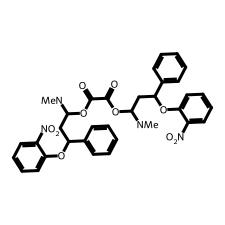 CNC(CC(Oc1ccccc1[N+](=O)[O-])c1ccccc1)OC(=O)C(=O)OC(CC(Oc1ccccc1[N+](=O)[O-])c1ccccc1)NC